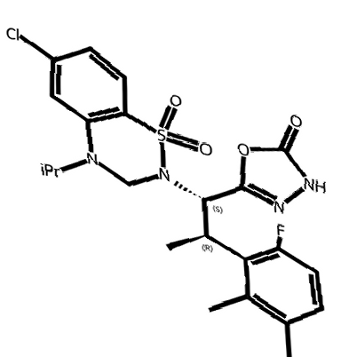 Cc1ccc(F)c([C@@H](C)[C@@H](c2n[nH]c(=O)o2)N2CN(C(C)C)c3cc(Cl)ccc3S2(=O)=O)c1C